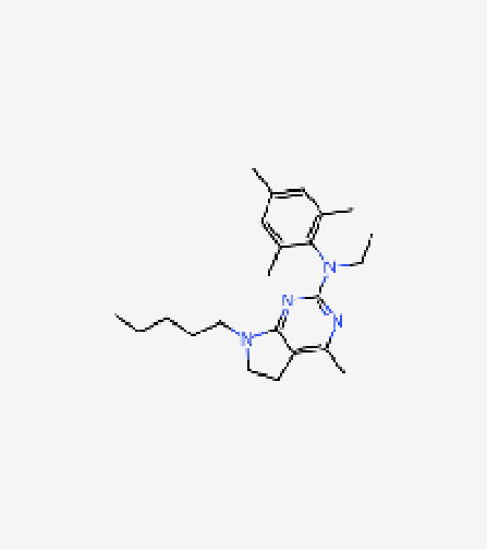 CCCCCN1CCc2c(C)nc(N(CC)c3c(C)cc(C)cc3C)nc21